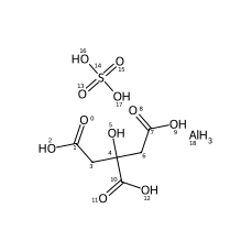 O=C(O)CC(O)(CC(=O)O)C(=O)O.O=S(=O)(O)O.[AlH3]